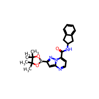 CC1(C)OB(c2cc3nccc(C(=O)NC4Cc5ccccc5C4)n3n2)OC1(C)C